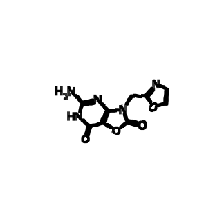 Nc1nc2c(oc(=O)n2Cc2ncco2)c(=O)[nH]1